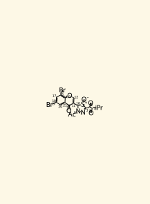 CC(=O)N1N=C(S(=O)(=O)C(C)C)[S+]([O-])C1c1coc2c(Br)cc(Br)cc2c1=O